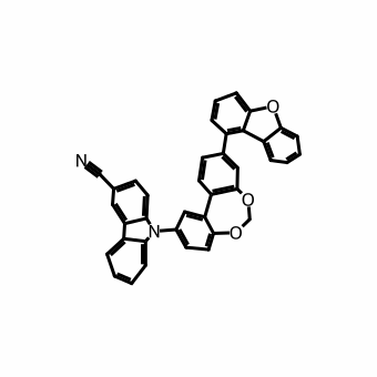 N#Cc1ccc2c(c1)c1ccccc1n2-c1ccc2c(c1)-c1ccc(-c3cccc4oc5ccccc5c34)cc1OCO2